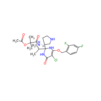 CC(=O)OC(C)(C)C(=O)N[C@]1(C2(C(C)C)NC(=O)C(Cl)=C(OCc3ccc(F)cc3F)N2)CCNC1